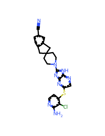 N#Cc1ccc2c(c1)CC1(CCN(c3nc4nc(Sc5ccnc(N)c5Cl)cnc4[nH]3)CC1)C2